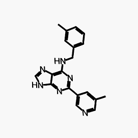 Cc1cccc(CNc2nc(-c3cncc(C)c3)nc3[nH]cnc23)c1